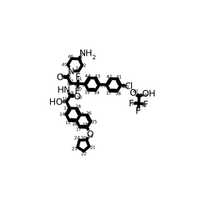 NC1CCN(C(=O)[C@@H](NC(=O)[C@@H](O)c2ccc3cc(OC4CCCC4)ccc3c2)C(F)(F)c2ccc(-c3ccc(Cl)cc3)cc2)CC1.O=C(O)C(F)(F)F